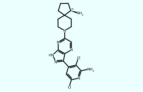 Nc1nc(Cl)cc(-c2n[nH]c3nc(N4CCC5(CCC[C@H]5N)CC4)cnc23)c1Cl